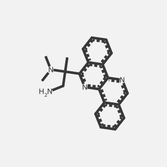 CN(C)C(C)(CN)c1nc2c3ccccc3cnc2c2ccccc12